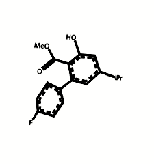 COC(=O)c1c(O)cc(C(C)C)cc1-c1ccc(F)cc1